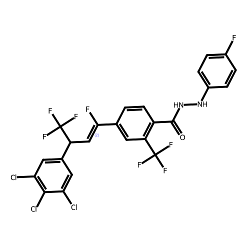 O=C(NNc1ccc(F)cc1)c1ccc(/C(F)=C/C(c2cc(Cl)c(Cl)c(Cl)c2)C(F)(F)F)cc1C(F)(F)F